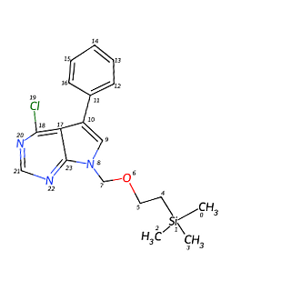 C[Si](C)(C)CCOCn1cc(-c2ccccc2)c2c(Cl)ncnc21